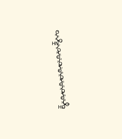 O=CCCC(=O)NCCOCCOCCOCCOCCOCCOCCOCCOCCC(=O)O